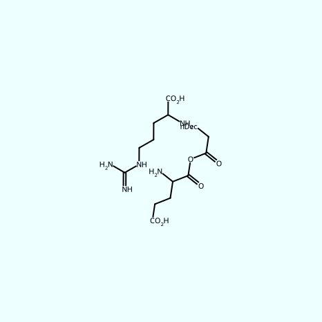 CCCCCCCCCCCC(=O)OC(=O)C(N)CCC(=O)O.N=C(N)NCCCC(N)C(=O)O